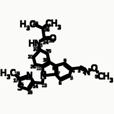 CON=Cc1ccc2c(c1)c1c(n2Cc2csc(C)n2)CCC(NC(=O)C(C)C)C1